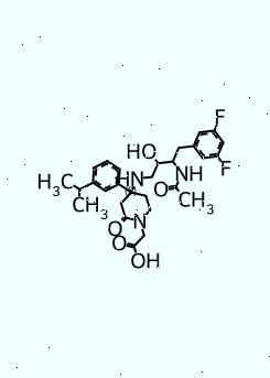 CC(=O)NC(Cc1cc(F)cc(F)c1)C(O)CN[C@@]1(c2cccc(C(C)C)c2)CCN(CC(=O)O)C(=O)C1